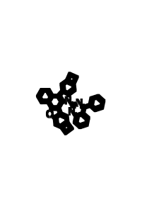 c1ccc(-c2nc(-n3c4cc5c(cc4c4c6ccccc6c6oc7cc8c(cc7c6c43)CC8)CC5)nc3ccccc23)cc1